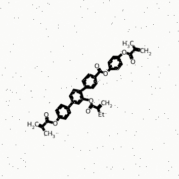 C=C(C)C(=O)Oc1ccc(OC(=O)c2ccc(-c3ccc(-c4ccc(OC(=O)C(=C)C)cc4)cc3OC(=O)C(=C)CC)cc2)cc1